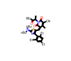 CCCCN(CCCC)c1nc(-c2c(CC)cc(CC)cc2CC)c(/C=C2\C(=O)N(C(C)C(=O)C(C)(C)C)C(=O)C(C#N)=C2C)s1